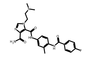 Cc1cc(NC(=O)c2c(C(N)=O)ncn2CCN(C)C)ccc1NC(=O)c1ccc(F)cc1